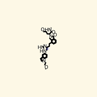 CNC(=O)C(CCC=O)N1Cc2c(CC/C(=C/Nc3ccc4c(ccn4CCOC)c3)N=N)cccc2C1=O